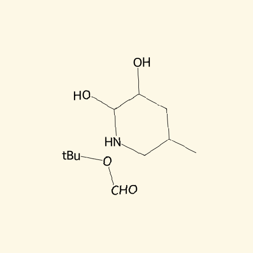 CC(C)(C)OC=O.CC1CNC(O)C(O)C1